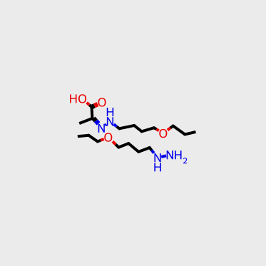 CCCOCCCCNN.CCCOCCCCNN=C(C)C(=O)O